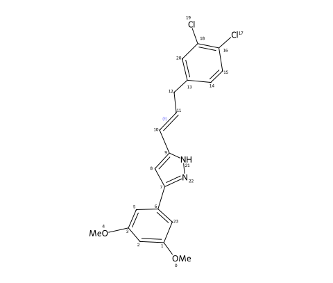 COc1cc(OC)cc(-c2cc(/C=C/Cc3ccc(Cl)c(Cl)c3)[nH]n2)c1